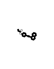 C=CC(=O)Oc1ccc(C#Cc2cccc3ccccc23)cc1